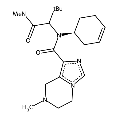 CNC(=O)C(N(C(=O)c1ncn2c1CN(C)CC2)[C@@H]1CC=CCC1)C(C)(C)C